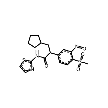 CS(=O)(=O)c1ccc(C(CC2CCCC2)C(=O)Nc2nccs2)cc1N=O